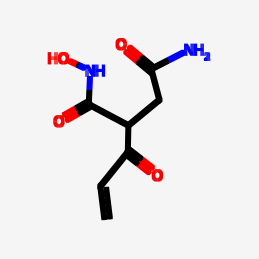 C=CC(=O)C(CC(N)=O)C(=O)NO